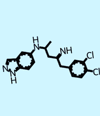 CC(CC(=N)Cc1ccc(Cl)c(Cl)c1)Nc1ccc2[nH]ncc2c1